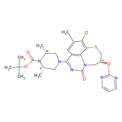 Cc1cc2c(N3C[C@@H](C)N(C(=O)OC(C)(C)C)[C@@H](C)C3)nc(=O)n3c2c(c1Cl)SC[C@@H](Oc1ncccn1)C3